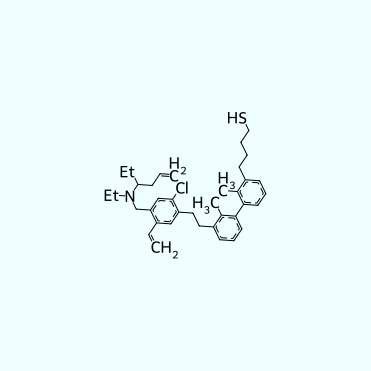 C=CCC(CC)N(CC)Cc1cc(Cl)c(CCc2cccc(-c3cccc(CCCCS)c3C)c2C)cc1C=C